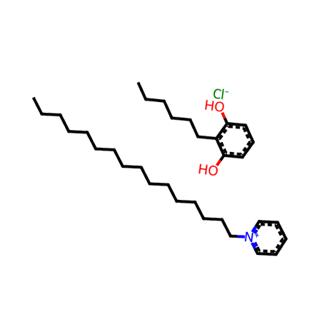 CCCCCCCCCCCCCCCC[n+]1ccccc1.CCCCCCc1c(O)cccc1O.[Cl-]